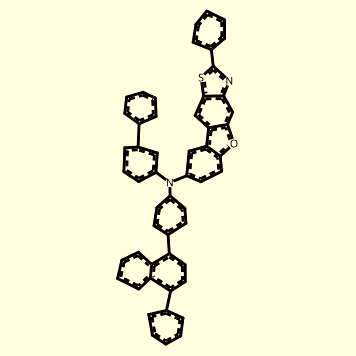 c1ccc(-c2cccc(N(c3ccc(-c4ccc(-c5ccccc5)c5ccccc45)cc3)c3ccc4oc5cc6nc(-c7ccccc7)sc6cc5c4c3)c2)cc1